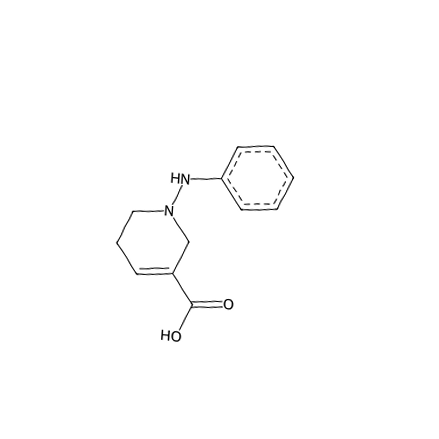 O=C(O)C1=CCCN(Nc2ccccc2)C1